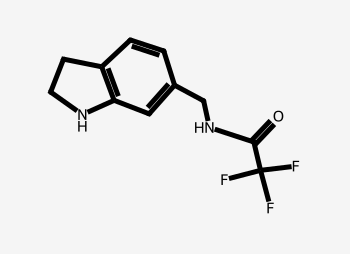 O=C(NCc1ccc2c(c1)NCC2)C(F)(F)F